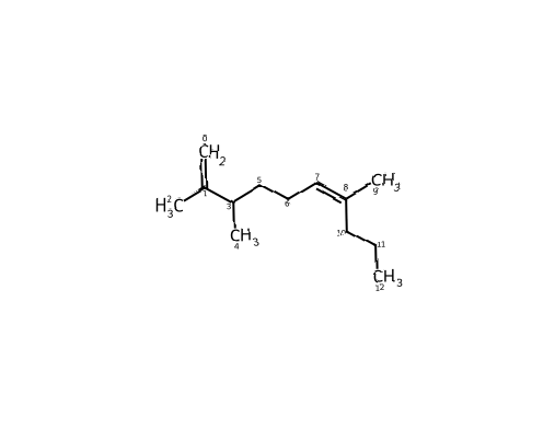 C=C(C)C(C)CCC=C(C)CCC